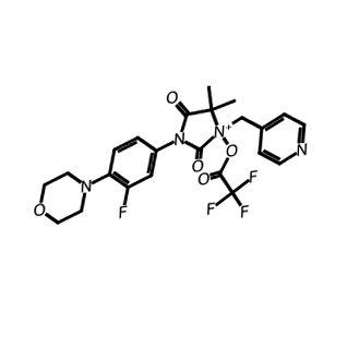 CC1(C)C(=O)N(c2ccc(N3CCOCC3)c(F)c2)C(=O)[N+]1(Cc1ccncc1)OC(=O)C(F)(F)F